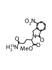 COC(=O)C(CCC([15NH2])=O)N1Cc2c(cccc2[N+](=O)[O-])C1=O